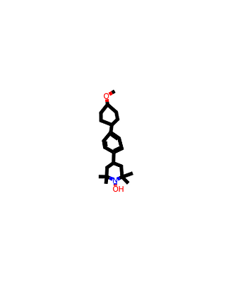 COC1CCC(c2ccc(C3CC(C)(C)N(O)C(C)(C)C3)cc2)CC1